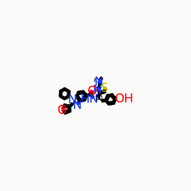 CN(C)c1nc([C@H](Cc2ccc(O)cc2)NC(=O)c2ccc3c(c2)nc(-c2ccoc2)n3C2CCCCC2)cs1